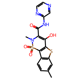 Cc1ccc2c3c(sc2c1)C(O)=C(C(=O)Nc1cnccn1)N(C)S3(=O)=O